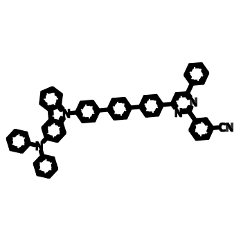 N#Cc1cccc(-c2nc(-c3ccccc3)cc(-c3ccc(-c4ccc(-c5ccc(-n6c7ccccc7c7cc(N(c8ccccc8)c8ccccc8)ccc76)cc5)cc4)cc3)n2)c1